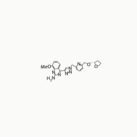 COc1cccc2c(-c3cn(Cc4cccc(COC[C@@H]5CCCO5)n4)nn3)nc(N)nc12